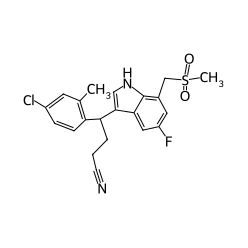 Cc1cc(Cl)ccc1C(CCC#N)c1c[nH]c2c(CS(C)(=O)=O)cc(F)cc12